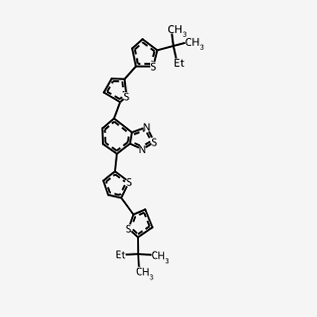 CCC(C)(C)c1ccc(-c2ccc(-c3ccc(-c4ccc(-c5ccc(C(C)(C)CC)s5)s4)c4nsnc34)s2)s1